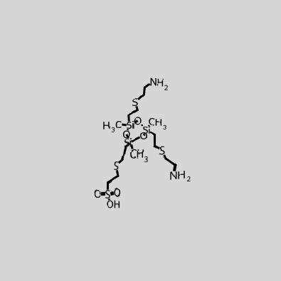 C[Si]1(CCSCCN)O[Si](C)(CCSCCN)O[Si](C)(CCSCCS(=O)(=O)O)O1